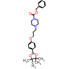 CC1(C)OB(c2ccc(OCCCN3CCN(C(=O)OCc4ccccc4)CC3)cc2)OC1(C)C